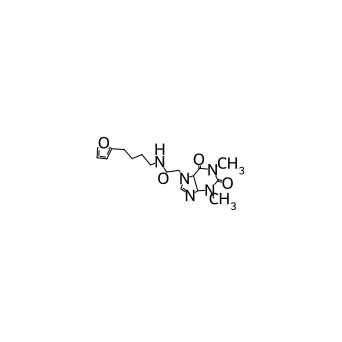 CN1C(=O)C2C(N=CN2CC(=O)NCCCCc2ccco2)N(C)C1=O